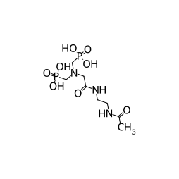 CC(=O)NCCNC(=O)CN(CP(=O)(O)O)CP(=O)(O)O